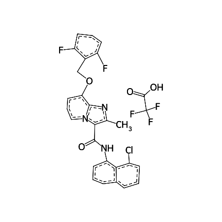 Cc1nc2c(OCc3c(F)cccc3F)cccn2c1C(=O)Nc1cccc2cccc(Cl)c12.O=C(O)C(F)(F)F